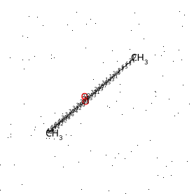 CCCCCCCCCCCCCCCCCCCCCCCCCCC(=O)OCCCCCCCCCCCCCCCCCCCC